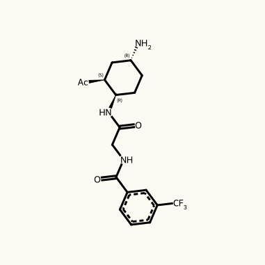 CC(=O)[C@H]1C[C@H](N)CC[C@H]1NC(=O)CNC(=O)c1cccc(C(F)(F)F)c1